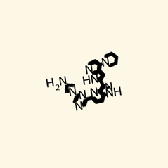 NC1CN(c2cncc(-c3ccc4[nH]nc(-c5cc6c(N7CCCCC7)ccnc6[nH]5)c4n3)n2)C1